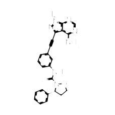 CCn1nc(C#Cc2cccc(NC(=O)N3OCC[C@H]3c3ccccc3)c2)c2c(N)ncnc21